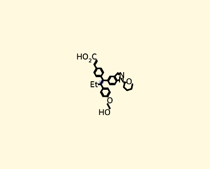 CC/C(=C(\c1ccc(C=CC(=O)O)cc1)c1ccc2c(cnn2C2CCCCO2)c1)c1ccc(OCCO)cc1